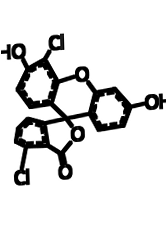 O=C1OC2(c3ccc(O)cc3Oc3c2ccc(O)c3Cl)c2cccc(Cl)c21